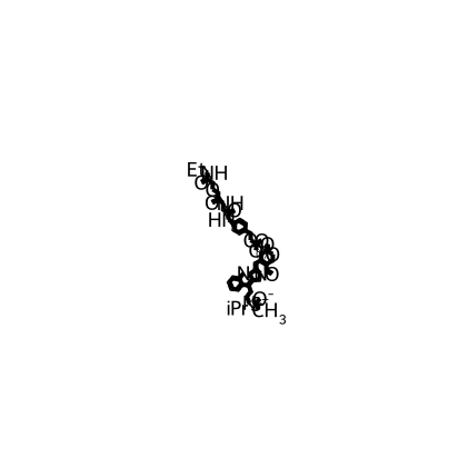 CCNC(=O)COCC(=O)NCC(=O)Nc1ccc(COC(=O)O[C@@H]2C(=O)OCc3c2cc2n(c3=O)Cc3c-2nc2ccccc2c3CCN(C(C)C)[S+](C)[O-])cc1